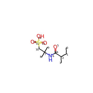 CCC(C)C(=O)NC(C)(C)CS(=O)(=O)O